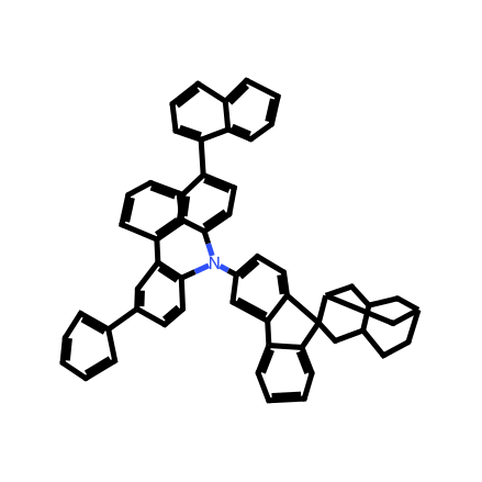 c1ccc(-c2ccc(N(c3ccc(-c4cccc5ccccc45)cc3)c3ccc4c(c3)-c3ccccc3C43CC4CCC5CC4CC3C5)c(-c3ccccc3)c2)cc1